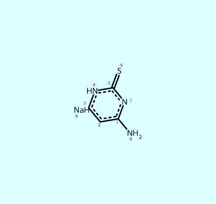 Nc1cc[nH]c(=S)n1.[NaH]